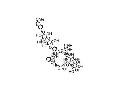 CCC(c1ccccc1)C1NC(=O)CNC(=O)C(CO)NC(=O)C(C(O)C2CNC(=N)N2C2OC(CO)C(O)C(O)C2O)NC(=O)C(C(O)C2CNC(=N)N2)NC(=O)C(Cc2ccc(OC3OC(CO)C(OC4OC(CO)C(O)C(OCc5ccc6cc(OC)ccc6c5)C4O)C(O)C3O)cc2)NC1=O